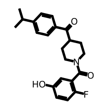 CC(C)c1ccc(C(=O)C2CCN(C(=O)c3cc(O)ccc3F)CC2)cc1